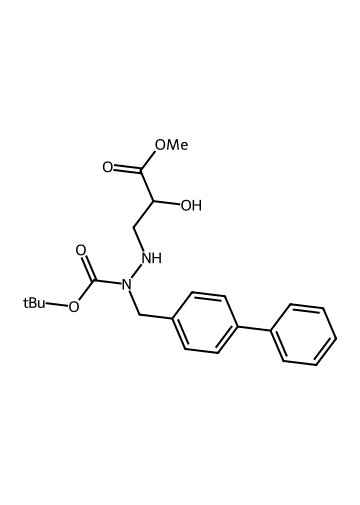 COC(=O)C(O)CNN(Cc1ccc(-c2ccccc2)cc1)C(=O)OC(C)(C)C